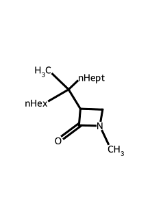 CCCCCCCC(C)(CCCCCC)C1CN(C)C1=O